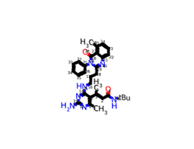 C/C(=C\C(=O)NC(C)(C)C)c1c(C)nc(N)nc1NCCCc1nc2cccc(C)c2c(=O)n1-c1ccccc1